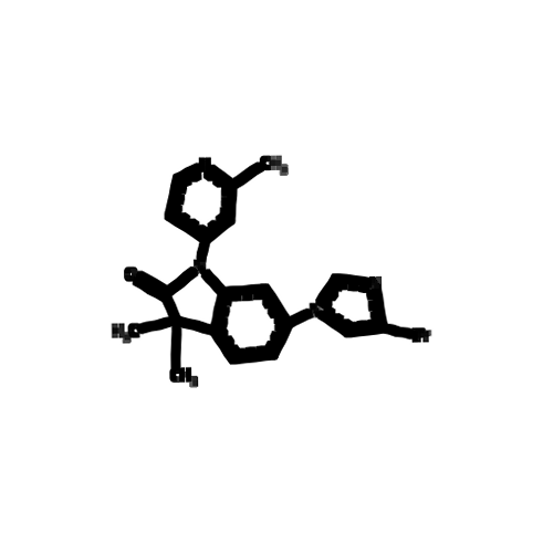 Cc1cc(N2C(=O)C(C)(C)c3ccc(-n4cnc(C(C)C)c4)cc32)ccn1